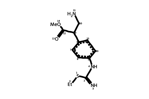 CCSC(=N)Nc1ccc(C(CN)C(=O)OC)cc1